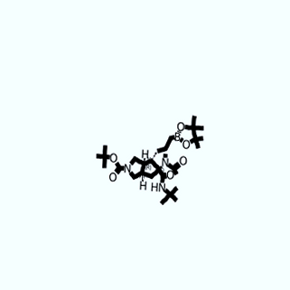 CC(=O)N(C)[C@@]1(C(=O)NC(C)(C)C)C[C@H]2CN(C(=O)OC(C)(C)C)C[C@H]2[C@@H]1CCCB1OC(C)(C)C(C)(C)O1